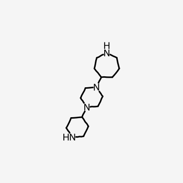 C1CNCCC(N2CCN(C3CCNCC3)CC2)C1